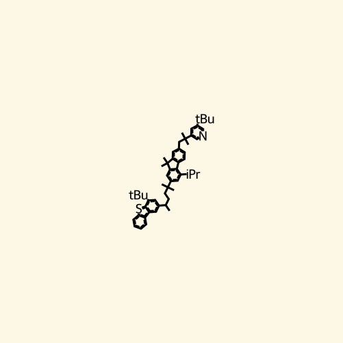 CC(C)c1cc(C(C)(C)CCC(C)c2cc(C(C)(C)C)c3sc4ccccc4c3c2)cc2c1-c1ccc(CC(C)(C)c3cncc(C(C)(C)C)c3)cc1C2(C)C